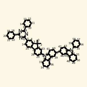 CC1(C)c2cc(-c3nc(-c4ccccc4)nc(-c4ccccc4)n3)ccc2-c2ccc(-n3c4ccccc4c4cc(-c5ccc6c(c5)c5ccccc5n6-c5ccccc5)ccc43)cc21